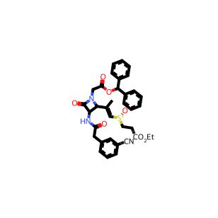 CCOC(=O)CC[S+]([O-])C=C(C)C1C(NC(=O)Cc2cccc(C#N)c2)C(=O)N1CC(=O)OC(c1ccccc1)c1ccccc1